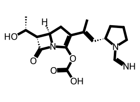 C/C(=C\[C@@H]1CCCN1C=N)C1=C(OC(=O)O)N2C(=O)[C@H]([C@@H](C)O)[C@H]2C1